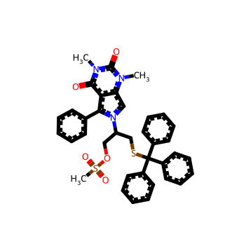 Cn1c(=O)c2c(-c3ccccc3)n(C(COS(C)(=O)=O)CSC(c3ccccc3)(c3ccccc3)c3ccccc3)cc2n(C)c1=O